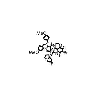 COc1ccc(CN(Cc2ccc(OC)cc2)c2ncccc2[C@@H](C)N2CCOc3c(Cl)c(Br)c(F)c4nc(OC[C@@]56CCCN5C[C@H](F)C6)nc2c34)cc1